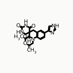 C[C@@H]1CN2c3ccc(-c4c[nH]cn4)cc3CC3(C(=O)NC(=O)NC3=O)[C@H]2[C@H](C)O1